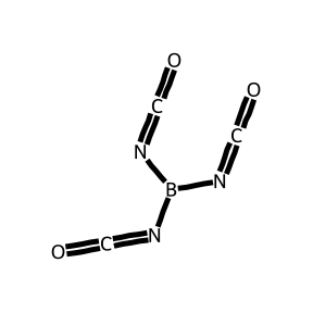 O=C=NB(N=C=O)N=C=O